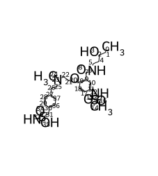 CCC(O)CCNC(=O)c1cc(NS(C)(=O)=O)ccc1OCCN(C)CCc1ccc(CS(=N)(=O)O)cc1